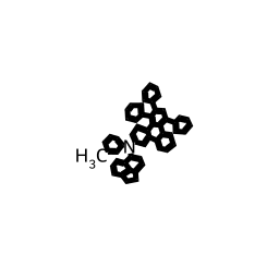 Cc1cccc(N(c2ccc3c(c2)c2ccccc2c2c(-c4ccccc4)cc(-c4ccccc4)c(-c4ccccc4)c32)c2ccc3c4c(cccc24)CC3)c1